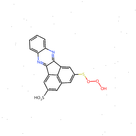 O=S(=O)(O)c1cc2c3c(cc(SOOO)cc3c1)-c1nc3ccccc3nc1-2